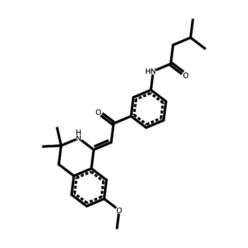 COc1ccc2c(c1)/C(=C/C(=O)c1cccc(NC(=O)CC(C)C)c1)NC(C)(C)C2